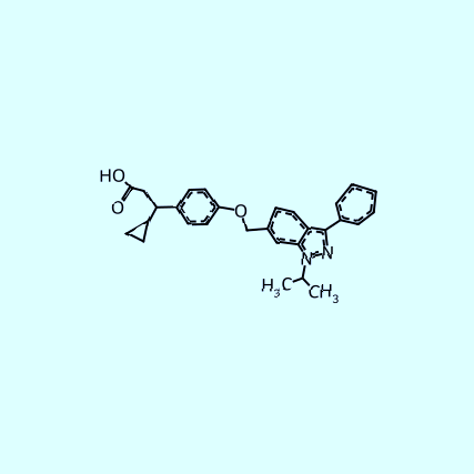 CC(C)n1nc(-c2ccccc2)c2ccc(COc3ccc(C(CC(=O)O)C4CC4)cc3)cc21